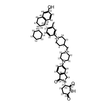 Cc1cc(N2CCC(CN3CCN(c4ccc5c(c4)CN([C@H]4CCC(=O)NC4=O)C5=O)CC3)CC2)ccc1[C@H]1c2ccc(O)cc2CC[C@H]1C1CCCCC1